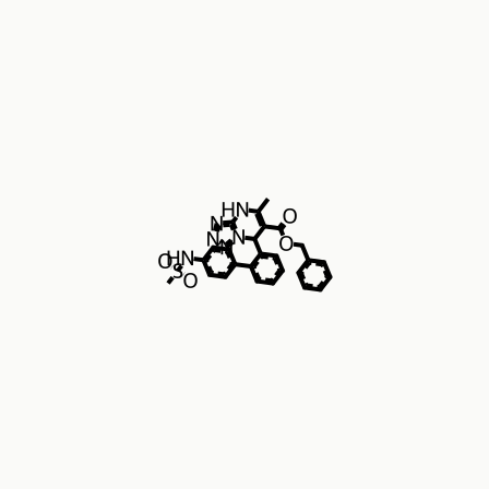 CC1=C(C(=O)OCc2ccccc2)C(c2ccccc2-c2ccc(NS(C)(=O)=O)cc2)n2nnnc2N1